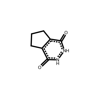 O=c1[nH][nH]c(=O)c2c1CCC2